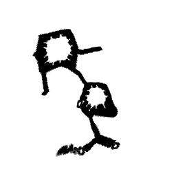 COC(=O)c1ccc(-c2c(C)cccc2C)o1